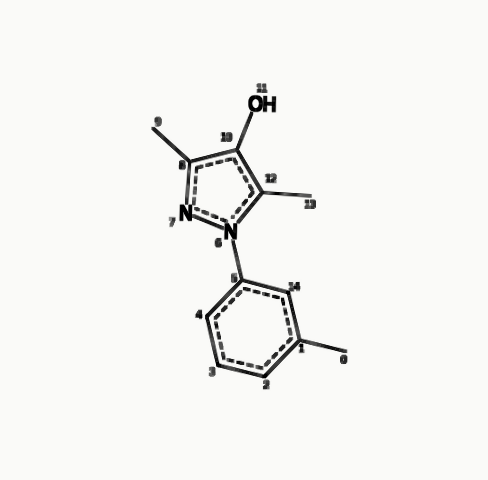 Cc1cccc(-n2nc(C)c(O)c2C)c1